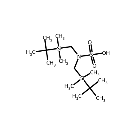 CC(C)(C)[Si](C)(C)CN(C[Si](C)(C)C(C)(C)C)S(=O)(=O)O